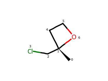 C[C@@]1(CCl)CCO1